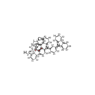 CC1CC2CC(C)C3(c4ccccc4-c4ccc(N(c5cccc(-n6c7ccccc7c7ccccc76)c5)c5ccccc5-c5ccccc5)cc43)C(C1)C2